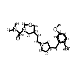 COc1ccc(Br)c(CC2CCN(CCC3CCCN(C(=O)N(C)C)C3)C2)c1